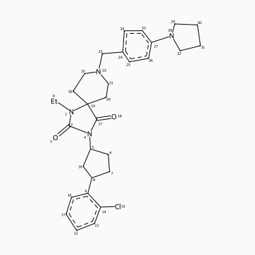 CCN1C(=O)N(C2CCC(c3ccccc3Cl)C2)C(=O)C12CCN(Cc1ccc(N3CCCC3)cc1)CC2